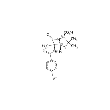 CC(C)c1ccc(C(=O)NC2(C)C(=O)N3[C@@H](C(=O)O)C(C)(C)S[C@@H]32)cc1